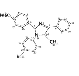 COc1ccc(C2N=C(c3ccccc3)C(C)N2c2ccc(Br)cc2)cc1